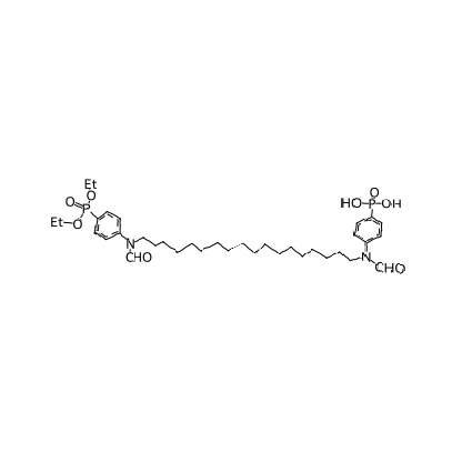 CCOP(=O)(OCC)c1ccc(N(C=O)CCCCCCCCCCCCCCCCCCN(C=O)c2ccc(P(=O)(O)O)cc2)cc1